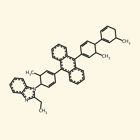 CCc1nc2ccccc2n1C1C=CC(c2c3ccccc3c(C3=CC(C)C(C4=CC(C)CC=C4)C=C3)c3ccccc23)=CC1C